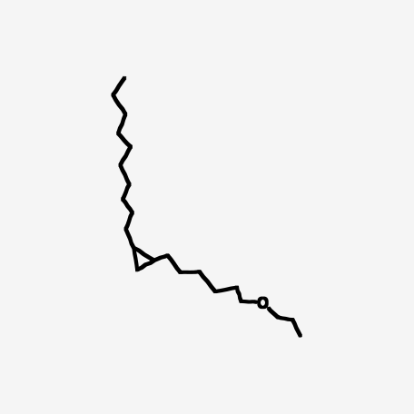 CCCCCCCCCCC1CC1CCCCCCOCCC